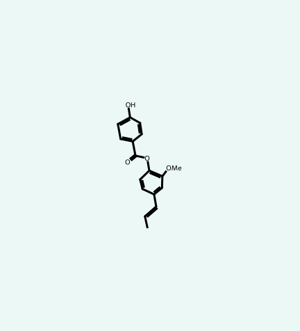 C/C=C/c1ccc(OC(=O)c2ccc(O)cc2)c(OC)c1